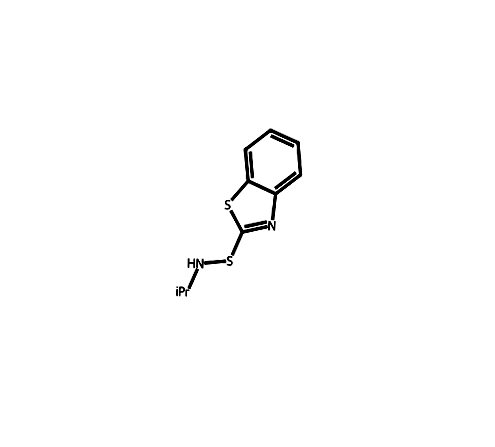 CC(C)NSc1nc2ccccc2s1